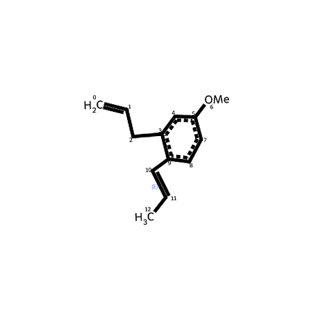 C=CCc1cc(OC)ccc1/C=C/C